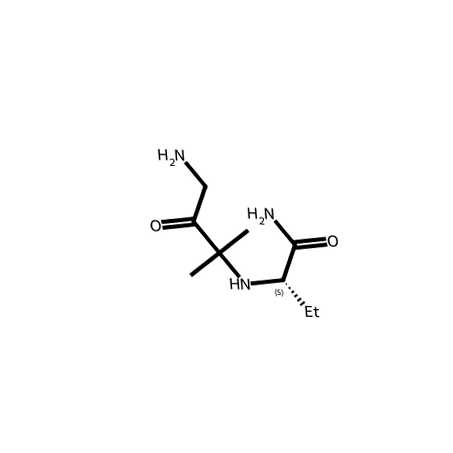 CC[C@H](NC(C)(C)C(=O)CN)C(N)=O